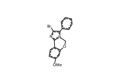 COc1ccc2c(c1)OCn1c-2nc(Br)c1-c1ccccc1